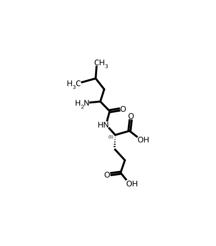 CC(C)CC(N)C(=O)N[C@@H](CCC(=O)O)C(=O)O